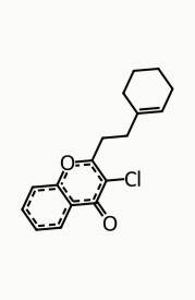 O=c1c(Cl)c(CCC2=CCCCC2)oc2ccccc12